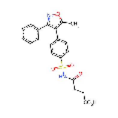 Cc1onc(-c2ccccc2)c1-c1ccc(S(=O)(=O)NC(=O)CCC(=O)O)cc1